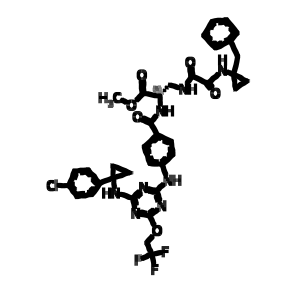 COC(=O)[C@H](CNC(=O)C(=O)NC1(Cc2ccccc2)CC1)NC(=O)c1ccc(Nc2nc(NC3(c4ccc(Cl)cc4)CC3)nc(OCC(F)(F)F)n2)cc1